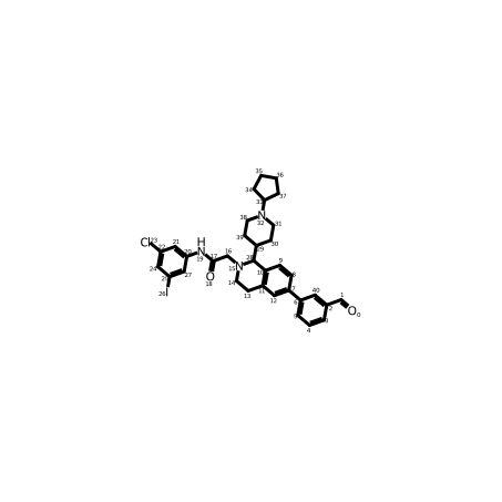 O=Cc1cccc(-c2ccc3c(c2)CCN(CC(=O)Nc2cc(Cl)cc(I)c2)C3C2CCN(C3CCCC3)CC2)c1